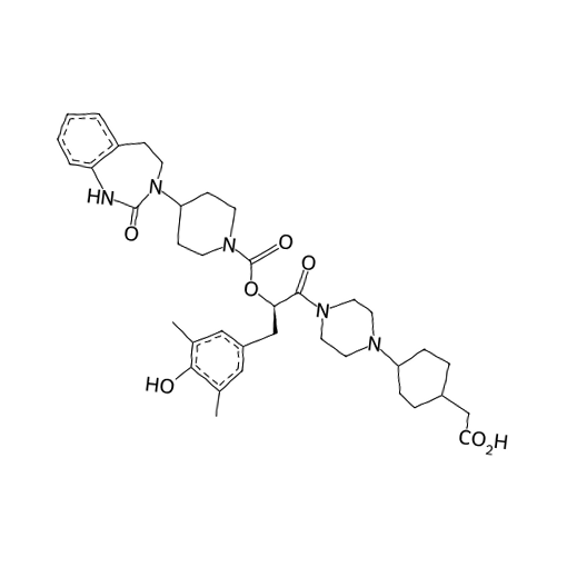 Cc1cc(C[C@@H](OC(=O)N2CCC(N3CCc4ccccc4NC3=O)CC2)C(=O)N2CCN(C3CCC(CC(=O)O)CC3)CC2)cc(C)c1O